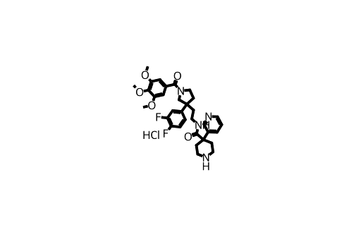 COc1cc(C(=O)N2CCC(CCNC(=O)C3(c4cccnc4)CCNCC3)(c3ccc(F)c(F)c3)C2)cc(OC)c1OC.Cl